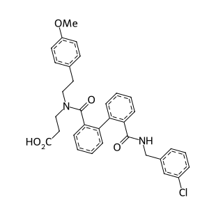 COc1ccc(CCN(CCC(=O)O)C(=O)c2ccccc2-c2ccccc2C(=O)NCc2cccc(Cl)c2)cc1